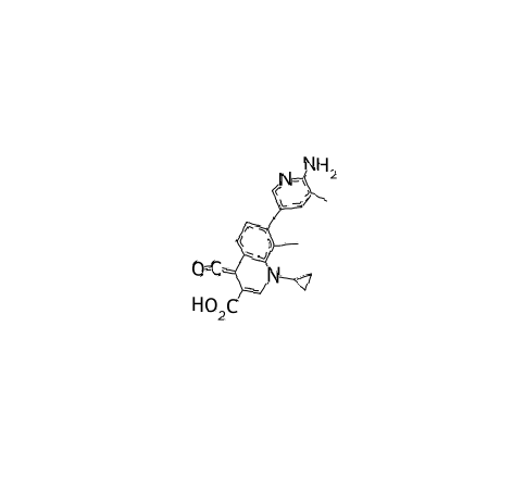 Cc1cc(-c2ccc3c(c2C)N(C2CC2)C=C(C(=O)O)C3=C=O)cnc1N